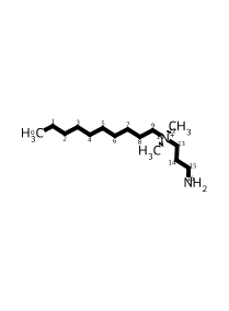 CCCCCCCCCC[N+](C)(C)CCCN